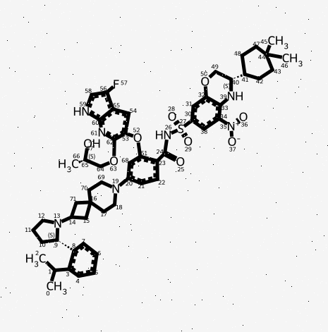 CC(C)c1ccccc1[C@@H]1CCCN1C1CC2(CCN(c3ccc(C(=O)NS(=O)(=O)c4cc5c(c([N+](=O)[O-])c4)N[C@@H](C4CCC(C)(C)CC4)CO5)c(Oc4cc5c(F)c[nH]c5nc4OC[C@H](C)O)c3)CC2)C1